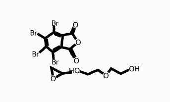 CC1CO1.O=C1OC(=O)c2c(Br)c(Br)c(Br)c(Br)c21.OCCOCCO